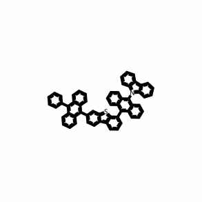 c1ccc(-c2c3ccccc3c(-c3ccc4c(c3)sc3c(-c5c6ccccc6c(-n6c7ccccc7c7ccccc76)c6ccccc56)cccc34)c3ccccc23)cc1